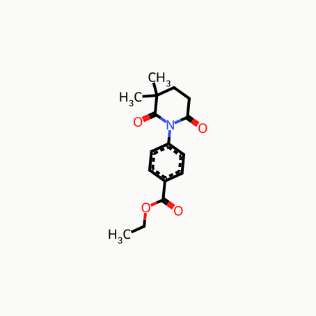 CCOC(=O)c1ccc(N2C(=O)CCC(C)(C)C2=O)cc1